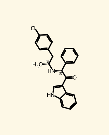 C[C@@H](Cc1ccc(Cl)cc1)N[C@H](C(=O)c1c[nH]c2ccccc12)c1ccccc1